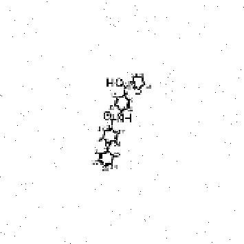 O=C(Nc1ccc(C(O)N2CCCC2)cc1)c1ccc(-c2ccccc2)cc1